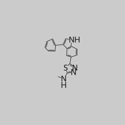 CNc1nnc(-c2ccc3[nH]cc(-c4ccccc4)c3c2)s1